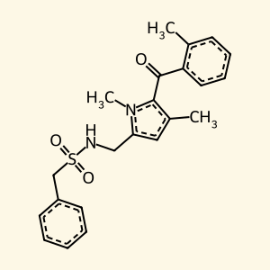 Cc1ccccc1C(=O)c1c(C)cc(CNS(=O)(=O)Cc2ccccc2)n1C